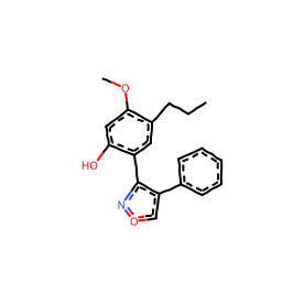 CCCc1cc(-c2nocc2-c2ccccc2)c(O)cc1OC